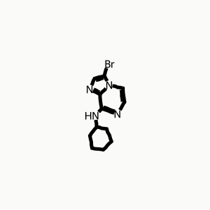 Brc1cnc2c(NC3CCCCC3)nccn12